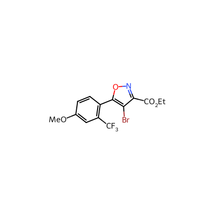 CCOC(=O)c1noc(-c2ccc(OC)cc2C(F)(F)F)c1Br